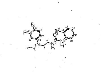 CCN(CCNC(=O)Nc1ccccc1Br)c1ccc(F)c(F)c1